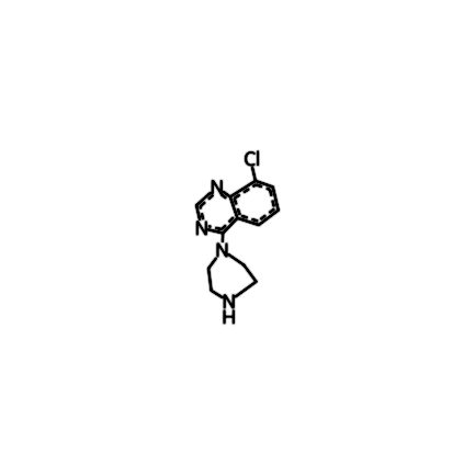 Clc1cccc2c(N3CCNCC3)ncnc12